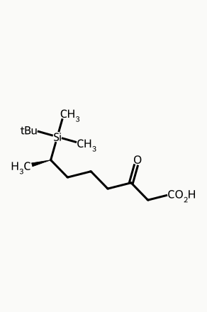 C[C@H](CCCC(=O)CC(=O)O)[Si](C)(C)C(C)(C)C